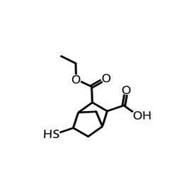 CCOC(=O)C1C2CC(CC2S)C1C(=O)O